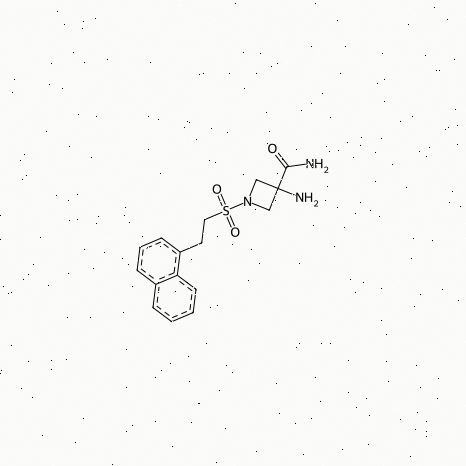 NC(=O)C1(N)CN(S(=O)(=O)CCc2cccc3ccccc23)C1